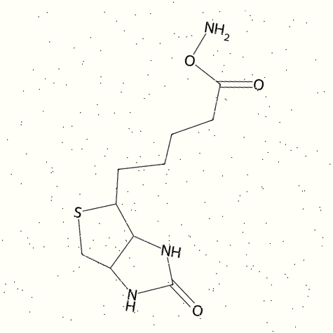 NOC(=O)CCCCC1SCC2NC(=O)NC21